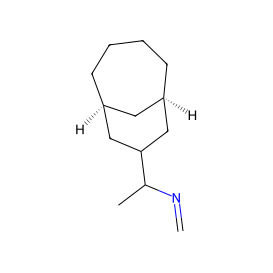 C=NC(C)C1C[C@H]2CCCC[C@@H](C1)C2